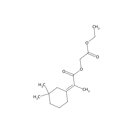 CCOC(=O)COC(=O)C(C)=C1CCCC(C)(C)C1